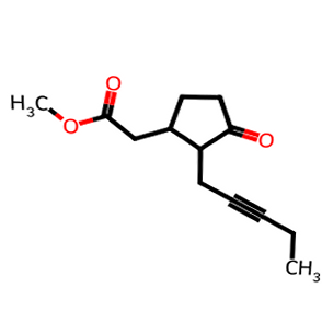 CCC#CCC1C(=O)CCC1CC(=O)OC